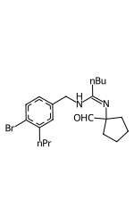 CCCC/C(=N/C1(C=O)CCCC1)NCc1ccc(Br)c(CCC)c1